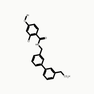 CC(C)Oc1ccc(C(=O)NCc2cccc(-c3cccc(CC(=O)O)c3)c2)c(Cl)c1